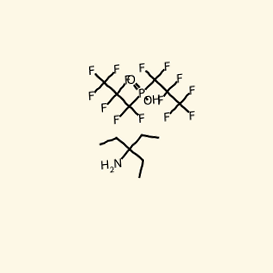 CCC(N)(CC)CC.O=P(O)(C(F)(F)C(F)(F)C(F)(F)F)C(F)(F)C(F)(F)C(F)(F)F